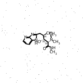 CNC(=O)[C@H]([C@H](O)[C@H](C)Cc1nc2ncccc2[nH]1)N(C)C